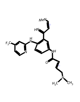 CN/C=C\C(=N)c1cc(NC(=O)/C=C/CN(C)C)ccc1Nc1cc(C(F)(F)F)ccn1